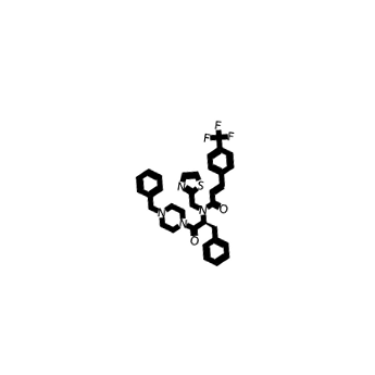 O=C([C@H](Cc1ccccc1)N(Cc1nccs1)C(=O)/C=C/c1ccc(C(F)(F)F)cc1)N1CCN(Cc2ccccc2)CC1